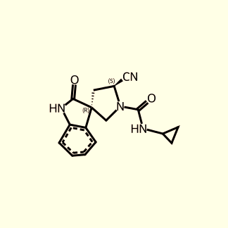 N#C[C@@H]1C[C@@]2(CN1C(=O)NC1CC1)C(=O)Nc1ccccc12